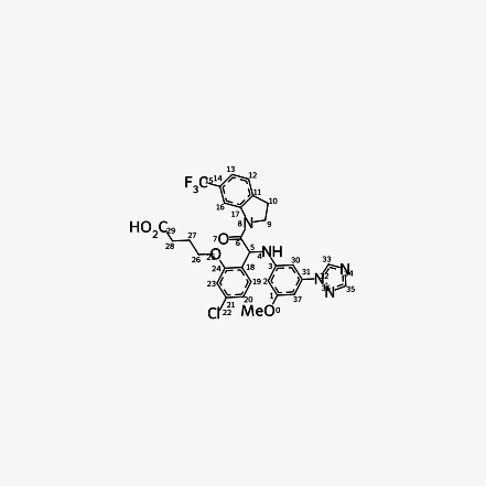 COc1cc(NC(C(=O)N2CCc3ccc(C(F)(F)F)cc32)c2ccc(Cl)cc2OCCCC(=O)O)cc(-n2cncn2)c1